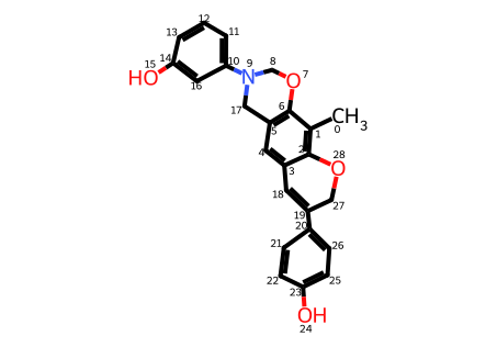 Cc1c2c(cc3c1OCN(c1cccc(O)c1)C3)C=C(c1ccc(O)cc1)CO2